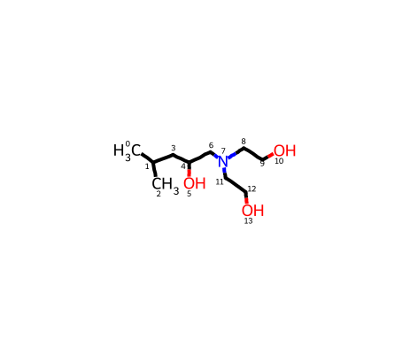 CC(C)CC(O)CN(CCO)CCO